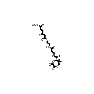 COC(=O)/C=C/C(=O)CC(=O)SCCNC(=O)CCNC(=O)[C@@H]1OC(=O)C(=O)OCC1(C)C